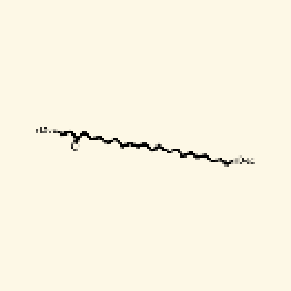 CCCCCCCCCCCCCCCCCCCCCCCCCCCCCCC(=O)CCCCCCCCCCCC